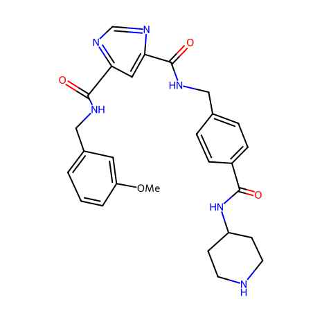 COc1cccc(CNC(=O)c2cc(C(=O)NCc3ccc(C(=O)NC4CCNCC4)cc3)ncn2)c1